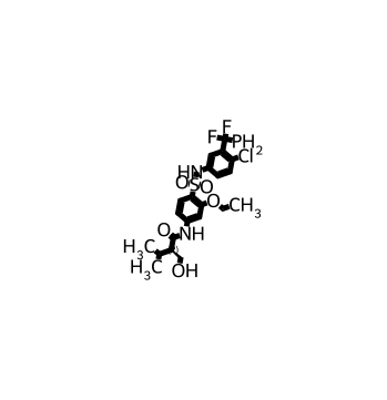 CCOc1cc(NC(=O)[C@@H](CO)C(C)C)ccc1S(=O)(=O)Nc1ccc(Cl)c(C(F)(F)P)c1